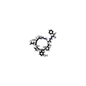 CC(=O)CC[C@H]1C(=O)N[C@@H](C(C)C)C(=O)NC(c2cccc(O)c2)C(=O)N2CCCC(N2)C(=O)O[C@H](/C(C)=C/C=C/C(=O)N(C)C2CCCCC2)C/C=C/C=C/[C@H](O)[C@H](C)[C@H]1O